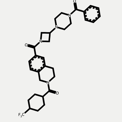 O=C(c1ccccc1)N1CCN(C2CN(C(=O)c3ccc4c(c3)CCN(C(=O)C3CCC(C(F)(F)F)CC3)C4)C2)CC1